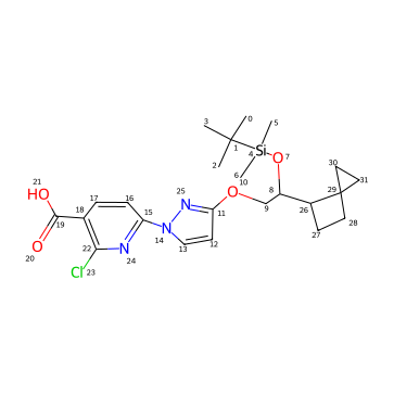 CC(C)(C)[Si](C)(C)OC(COc1ccn(-c2ccc(C(=O)O)c(Cl)n2)n1)C1CCC12CC2